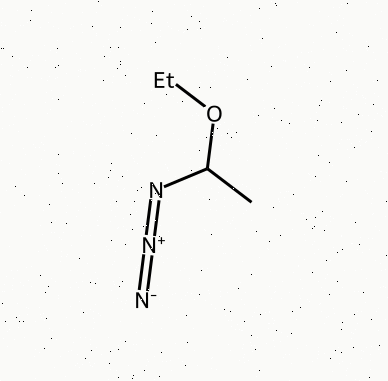 CCOC(C)N=[N+]=[N-]